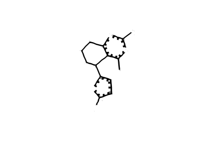 Nc1nc(Cl)c2c(n1)CCCC2c1ccc(Cl)s1